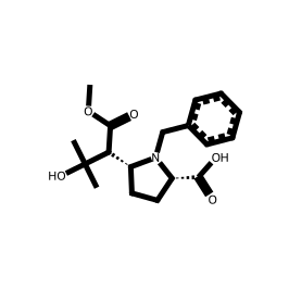 COC(=O)C([C@H]1CC[C@@H](C(=O)O)N1Cc1ccccc1)C(C)(C)O